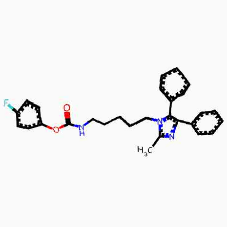 Cc1nc(-c2ccccc2)c(-c2ccccc2)n1CCCCCNC(=O)Oc1ccc(F)cc1